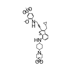 COc1cc(S(C)(=O)=O)ccc1NCC#Cc1sc2c(NC3CCC(N4CCS(=O)(=O)CC4)CC3)cccc2c1CC1CC1